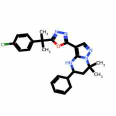 CC(C)(c1ccc(Cl)cc1)c1nnc(-c2cnn3c2NC(C2C=CC=CC2)CC3(C)C)o1